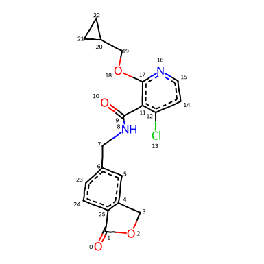 O=C1OCc2cc(CNC(=O)c3c(Cl)ccnc3OCC3CC3)ccc21